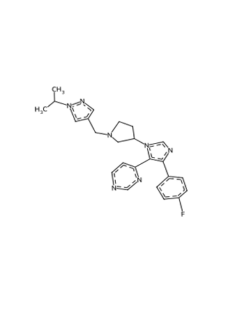 CC(C)n1cc(CN2CCC(n3cnc(-c4ccc(F)cc4)c3-c3ccncn3)C2)cn1